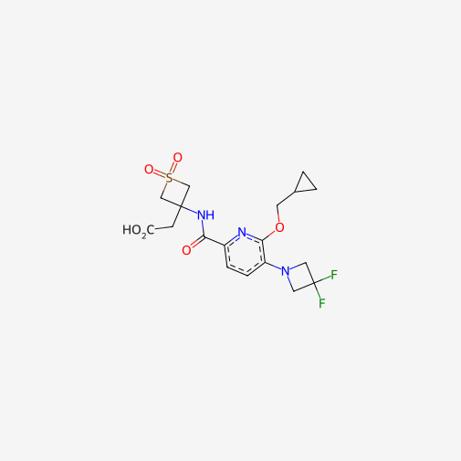 O=C(O)CC1(NC(=O)c2ccc(N3CC(F)(F)C3)c(OCC3CC3)n2)CS(=O)(=O)C1